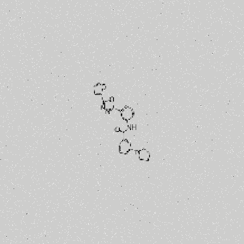 O=C(Nc1cccc(-c2nnc(-c3ccco3)o2)c1)c1cccc(N2CCCC2)c1